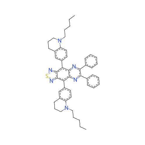 CCCCCN1CCCc2cc(-c3c4nsnc4c(-c4ccc5c(c4)CCCN5CCCCC)c4nc(-c5ccccc5)c(-c5ccccc5)nc34)ccc21